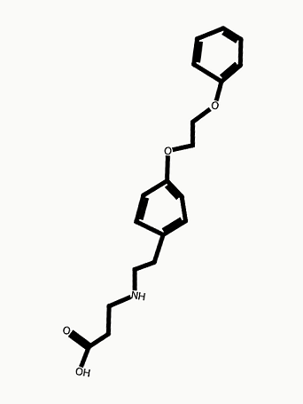 O=C(O)CCNCCc1ccc(OCCOc2ccccc2)cc1